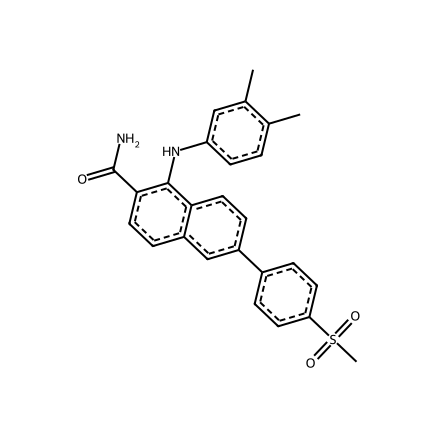 Cc1ccc(Nc2c(C(N)=O)ccc3cc(-c4ccc(S(C)(=O)=O)cc4)ccc23)cc1C